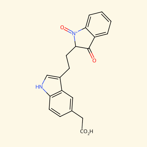 O=C(O)Cc1ccc2[nH]cc(CCC3C(=O)c4ccccc4[N+]3=O)c2c1